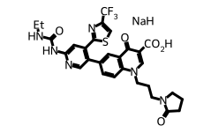 CCNC(=O)Nc1cc(-c2nc(C(F)(F)F)cs2)c(-c2ccc3c(c2)c(=O)c(C(=O)O)cn3CCCN2CCCC2=O)cn1.[NaH]